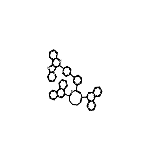 C1=C(c2cccc(-c3ccc(-c4nc5ccccc5c5nc6ccccn6c45)cc3)c2)\N=C(\c2cc3ccccc3c3ccccc23)CCC\C=C/1c1cc2ccccc2c2ccccc12